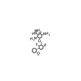 COc1ccccc1-c1ccc(F)c(COc2cc(N)nc(NN)c2N)c1F